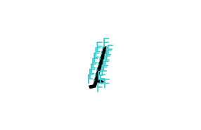 CCC(F)(C(F)(F)F)C(F)(F)C(F)(F)C(F)(F)C(F)(F)C(F)(F)C(F)(F)F